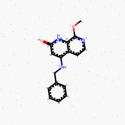 COc1nccc2c(NCc3ccccc3)cc(=O)[nH]c12